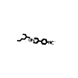 [C-]#[N+]c1ccc(-c2cc[n+](OCC(CC)CCCC)cc2)cc1